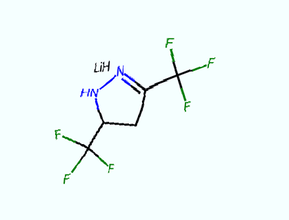 FC(F)(F)C1=NNC(C(F)(F)F)C1.[LiH]